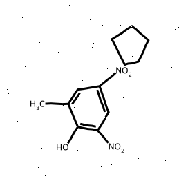 C1CCCC1.Cc1cc([N+](=O)[O-])cc([N+](=O)[O-])c1O